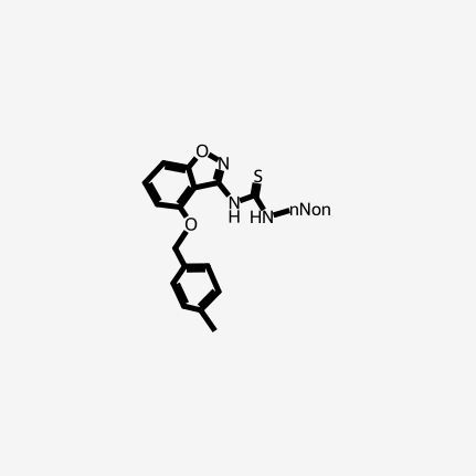 CCCCCCCCCNC(=S)Nc1noc2cccc(OCc3ccc(C)cc3)c12